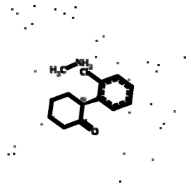 CN.O=C1CCCC[C@H]1c1ccccc1Cl